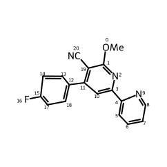 COc1nc(-c2ccccn2)cc(-c2ccc(F)cc2)c1C#N